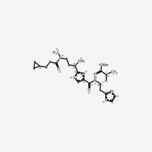 COC(=O)[C@@H](C)C[C@H](Cc1nccs1)NC(=O)c1csc([C@@H](CCN(C)C(=O)CCC2CC2)OC(C)=O)n1